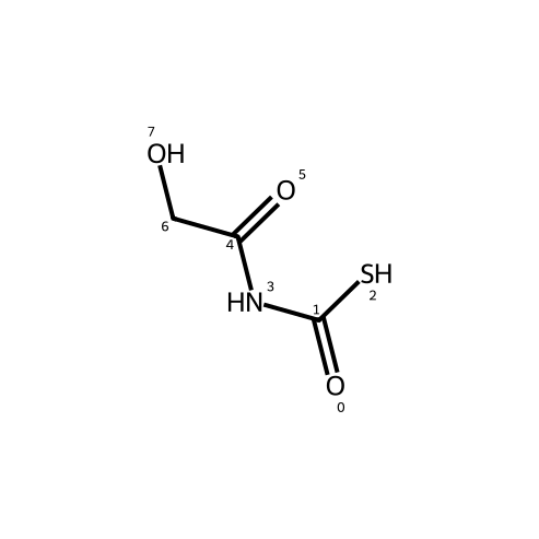 O=C(S)NC(=O)CO